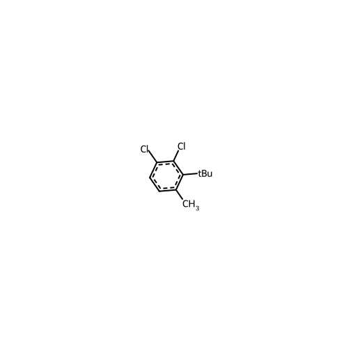 Cc1ccc(Cl)c(Cl)c1C(C)(C)C